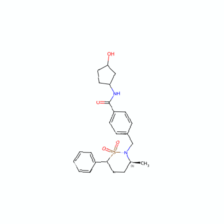 C[C@H]1CCC(c2ccccc2)S(=O)(=O)N1Cc1ccc(C(=O)NC2CCC(O)C2)cc1